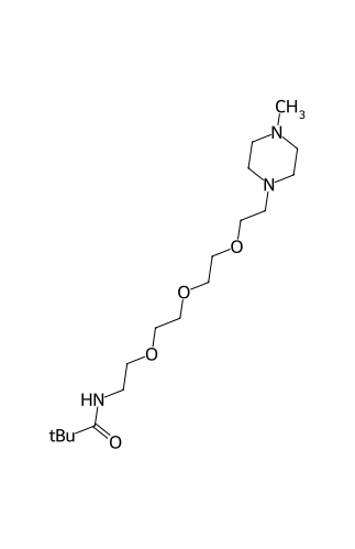 CN1CCN(CCOCCOCCOCCNC(=O)C(C)(C)C)CC1